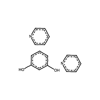 Oc1cccc(O)c1.c1ccncc1.c1ccncc1